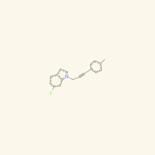 Cc1ccc(C#CCn2ccc3ccc(F)cc32)cc1